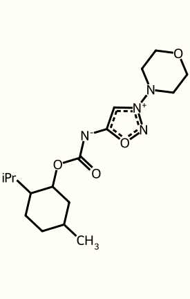 CC1CCC(C(C)C)C(OC(=O)[N-]c2c[n+](N3CCOCC3)no2)C1